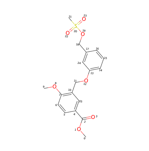 COC(=O)c1ccc(OC)c(COc2cccc(COS(C)(=O)=O)c2)c1